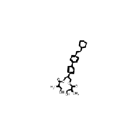 C=C(CO)C(=O)OCC(COC(=O)C(=C)CO)c1ccc(-c2ccc(CCC3CCCCC3)cc2)cc1